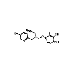 C#CCN(CCn1ccc(=O)c(O)c1C)Cc1ccc(Cl)cc1